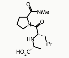 CNC(=O)C1CCCN1C(=O)[C@H](CC(C)C)N[C@H](C)C(=O)O